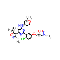 CNC[C@@H](O)COc1ccc(Cl)c(-c2nc(N[C@H]3CCO[C@H](C)C3)c(C)c(-c3c(C)noc3C)n2)c1